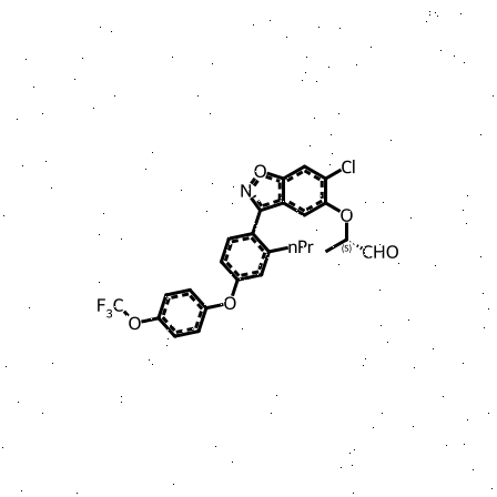 CCCc1cc(Oc2ccc(OC(F)(F)F)cc2)ccc1-c1noc2cc(Cl)c(O[C@@H](C)C=O)cc12